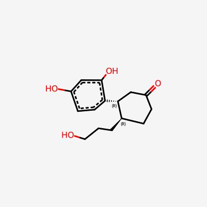 O=C1CC[C@@H](CCCO)[C@H](c2ccc(O)cc2O)C1